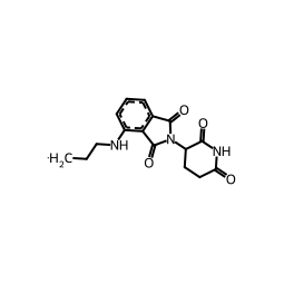 [CH2]CCNc1cccc2c1C(=O)N(C1CCC(=O)NC1=O)C2=O